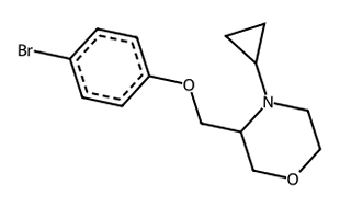 Brc1ccc(OCC2COCCN2C2CC2)cc1